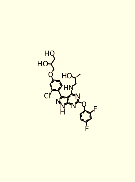 C[C@H](O)CNc1nc(Oc2ccc(F)cc2F)nc2[nH]nc(-c3ccc(OCC(O)CO)cc3Cl)c12